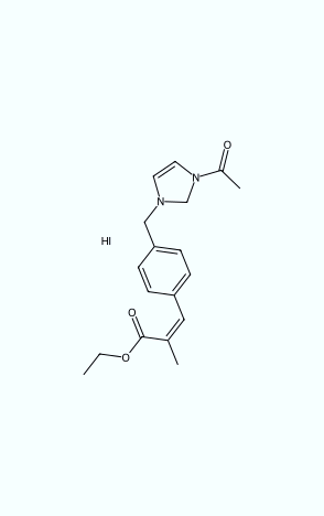 CCOC(=O)C(C)=Cc1ccc(CN2C=CN(C(C)=O)C2)cc1.I